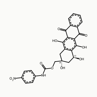 O=C(Nc1ccc([N+](=O)[O-])cc1)OC[C@@]1(O)Cc2c(O)c3c(c(O)c2[C@@H](O)C1)C(=O)c1ccccc1C3=O